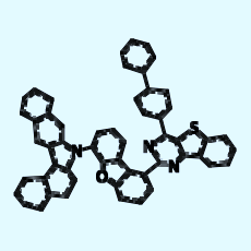 c1ccc(-c2ccc(-c3nc(-c4cccc5oc6c(-n7c8cc9ccccc9cc8c8c9ccccc9ccc87)cccc6c45)nc4c3sc3ccccc34)cc2)cc1